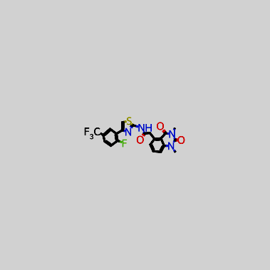 Cn1c(=O)c2c(CC(=O)Nc3nc(-c4cc(C(F)(F)F)ccc4F)cs3)cccc2n(C)c1=O